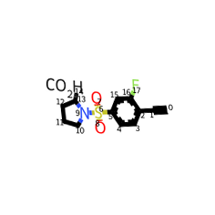 [C]#Cc1ccc(S(=O)(=O)N2CCCC2C(=O)O)cc1F